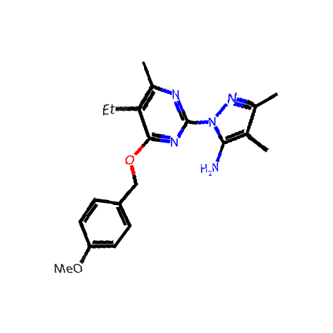 CCc1c(C)nc(-n2nc(C)c(C)c2N)nc1OCc1ccc(OC)cc1